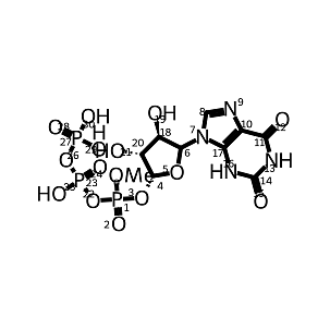 COP(=O)(O[C@H]1OC(n2cnc3c(=O)[nH]c(=O)[nH]c32)[C@H](O)[C@H]1O)OP(=O)(O)OP(=O)(O)O